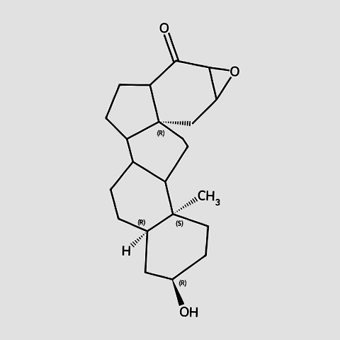 C[C@]12CC[C@@H](O)C[C@H]1CCC1C3CCC4C(=O)C5OC5C[C@@]43CCC12